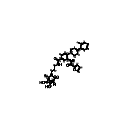 Cc1ccccc1N1CCN(c2ccc(C(=O)NCCCN3C(=O)[C@H]4C[C@@H]3C(O)C4O)cc2NC(=O)c2ccco2)CC1